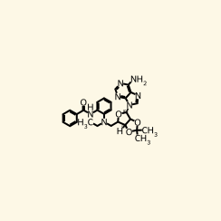 CCN(CC1O[C@@H](n2cnc3c(N)ncnc32)C2OC(C)(C)O[C@H]12)c1ccccc1NC(=O)c1ccccc1